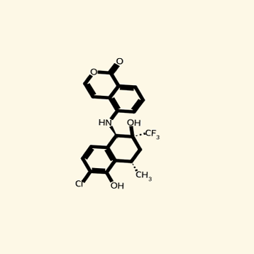 C[C@H]1C[C@@](O)(C(F)(F)F)[C@H](Nc2cccc3c(=O)occc23)c2ccc(Cl)c(O)c21